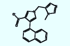 Cn1cncc1Cn1cc(-c2cccc3ccccc23)c([N+](=O)[O-])c1